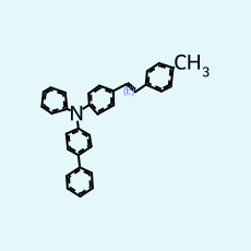 Cc1ccc(/C=C/c2ccc(N(c3ccccc3)c3ccc(-c4ccccc4)cc3)cc2)cc1